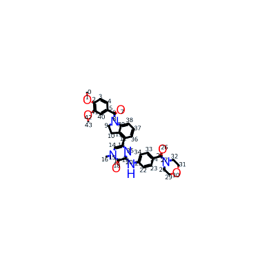 COc1ccc(C(=O)N2CCc3c(-c4cn(C)c(=O)c(Nc5ccc(C(=O)N6CCOCC6)cc5)n4)cccc32)cc1OC